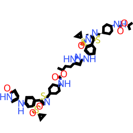 CN=S(=O)(c1cc(Nc2cc(CCC(C)OC(=O)NC3CCC(c4ncc(-c5ccc(Nc6ccc(=O)[nH]c6)cc5S(=O)(=O)C5CC5)s4)CC3)[nH]n2)ccc1-c1cnc([C@H]2CC[C@H](NC(=O)OC(C)C)CC2)s1)C1CC1